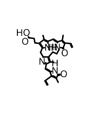 C=CC1=C(C)/C(=C/c2[nH]c(CC3N=C(/C=C4\NC(=O)C(C)=C4C=C)C(C)=C3CCC)c(CCC(=O)O)c2C)NC1=O